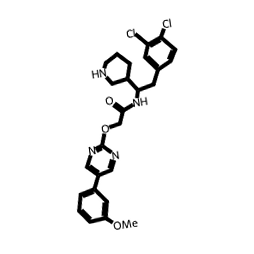 COc1cccc(-c2cnc(OCC(=O)NC(Cc3ccc(Cl)c(Cl)c3)C3CCCNC3)nc2)c1